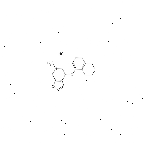 CN1Cc2occc2C(Oc2cccc3c2CCCC3)C1.Cl